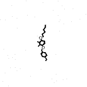 CCCCCCOc1ccc(OCc2ccc(CC)cc2)c(C)c1C